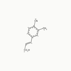 Cc1cc(C=CC(=O)O)ccc1C#N